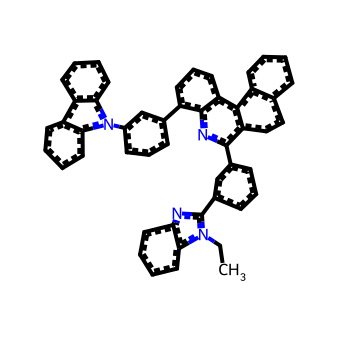 CCn1c(-c2cccc(-c3nc4c(-c5cccc(-n6c7ccccc7c7ccccc76)c5)cccc4c4c3ccc3ccccc34)c2)nc2ccccc21